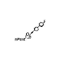 CCCCCC1COC(C#Cc2ccc(-c3ccc(F)cc3)cc2)OC1